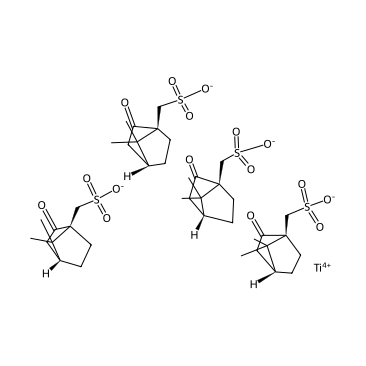 CC1(C)[C@@H]2CC[C@@]1(CS(=O)(=O)[O-])C(=O)C2.CC1(C)[C@@H]2CC[C@@]1(CS(=O)(=O)[O-])C(=O)C2.CC1(C)[C@@H]2CC[C@@]1(CS(=O)(=O)[O-])C(=O)C2.CC1(C)[C@@H]2CC[C@@]1(CS(=O)(=O)[O-])C(=O)C2.[Ti+4]